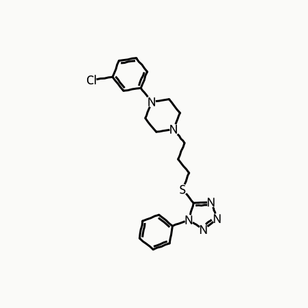 Clc1cccc(N2CCN(CCCSc3nnnn3-c3ccccc3)CC2)c1